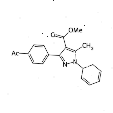 COC(=O)c1c(-c2ccc(C(C)=O)cc2)nn(C2C=CC=CC2)c1C